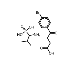 CC(C)C(N)P(=O)(O)O.O=C(O)CCC(=O)c1ccc(Br)cc1